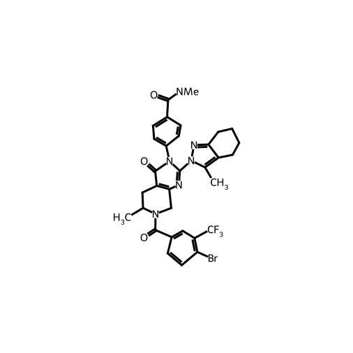 CNC(=O)c1ccc(-n2c(-n3nc4c(c3C)CCCC4)nc3c(c2=O)CC(C)N(C(=O)c2ccc(Br)c(C(F)(F)F)c2)C3)cc1